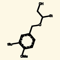 CCC(CO)OCc1ccc(OC)c(C(C)(C)C)c1